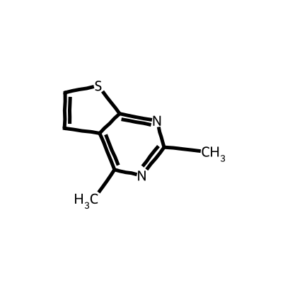 Cc1nc(C)c2ccsc2n1